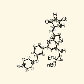 CCCCC1(CC)CC1Nc1cc(-c2cccc(CN3CCN(C)CC3)c2)nc2c(/C=C3\NC(=O)NC3=O)cnn12